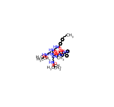 CCCCc1ccc(-c2ccc(C(=O)NCCC(=O)N[C@@H](CCCCNC(=O)OC(C)(C)C)C(=O)N[C@@H](CCCCNC(=O)OC(C)(C)C)C(=O)N[C@@H](C)C(=O)N[C@@H](CC(=O)NC(c3ccccc3)(c3ccccc3)c3ccccc3)C(=O)O)cc2)cc1